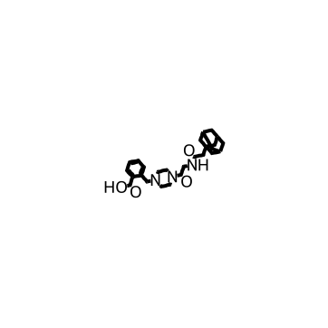 O=C(CC12CC3CC(CC(C3)C1)C2)NCC(=O)N1CCN(Cc2ccccc2C(=O)O)CC1